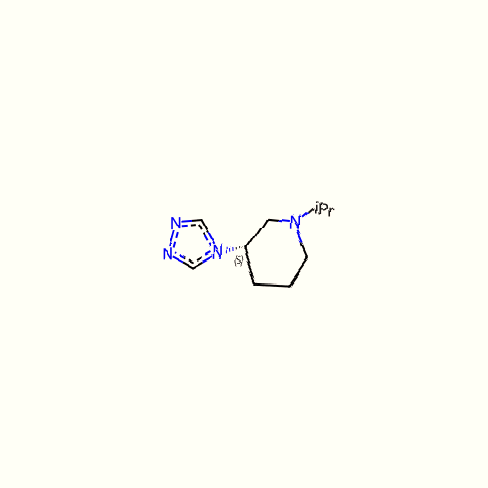 CC(C)N1CCC[C@H](n2cnnc2)C1